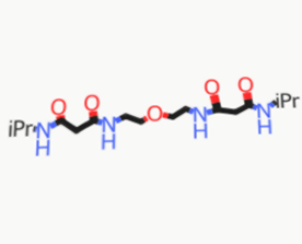 CC(C)NC(=O)CC(=O)NCCOCCNC(=O)CC(=O)NC(C)C